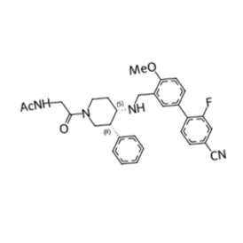 COc1ccc(-c2ccc(C#N)cc2F)cc1CN[C@H]1CCN(C(=O)CNC(C)=O)C[C@H]1c1ccccc1